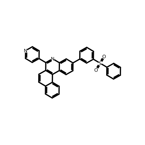 O=S(=O)(c1ccccc1)c1cccc(-c2ccc3c(c2)nc(-c2ccncc2)c2ccc4ccccc4c23)c1